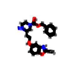 Cc1nc2cc(OCC[C@@H]3CN(C(=O)OCc4ccccc4)CCN3)ccc2o1